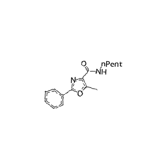 CCCCCNC(=O)c1nc(-c2ccccc2)oc1C